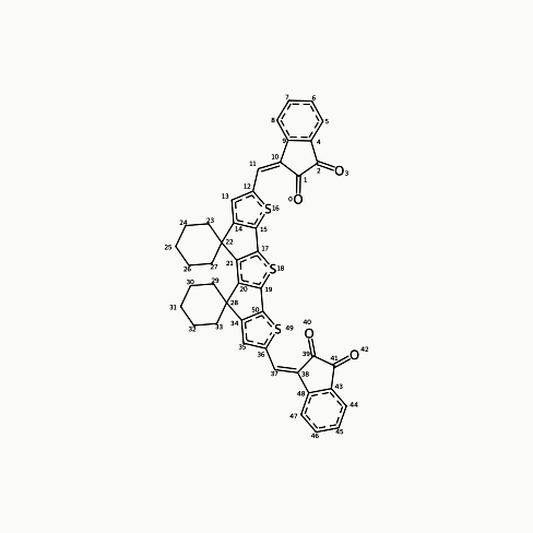 O=C1C(=O)c2ccccc2/C1=C/c1cc2c(s1)-c1sc3c(c1C21CCCCC1)C1(CCCCC1)c1cc(/C=C2\C(=O)C(=O)c4ccccc42)sc1-3